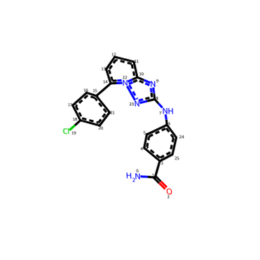 NC(=O)c1ccc(Nc2nc3cccc(-c4ccc(Cl)cc4)n3n2)cc1